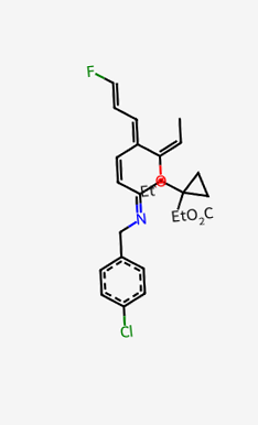 C/C=C(/OCC)C(=C/C=C/F)/C=C\C(CC1(C(=O)OCC)CC1)=N/Cc1ccc(Cl)cc1